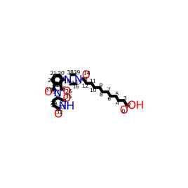 O=C(O)CCCCCCCCCCC(=O)N1CCN(c2cccc3c2C(=O)N(C2CCC(=O)NC2=O)C3=O)CC1